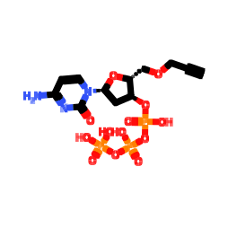 C#CCOC[C@H]1O[C@@H](n2ccc(N)nc2=O)C[C@@H]1OP(=O)(O)OP(=O)(O)OP(=O)(O)O